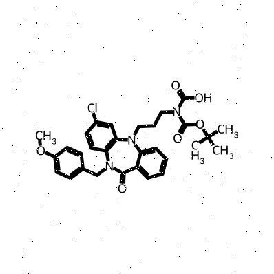 COc1ccc(CN2C(=O)c3ccccc3N(CCCN(C(=O)O)C(=O)OC(C)(C)C)c3cc(Cl)ccc32)cc1